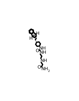 NC(=O)CCNCCCNC(=O)N[C@H]1CC[C@H](CCN2[C@@H]3CC[C@H]2c2ccccc23)CC1